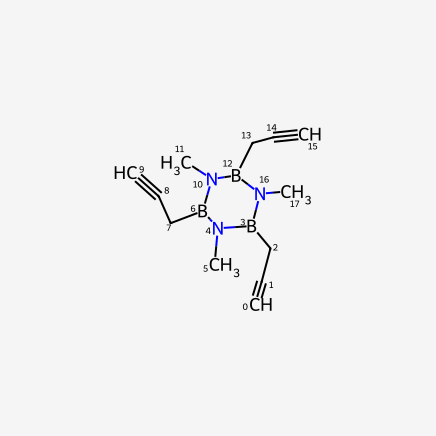 C#CCB1N(C)B(CC#C)N(C)B(CC#C)N1C